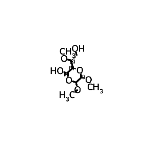 COC1O[C@@H](O)[C@H]([C@@H](CO)OC)O[C@@H]1OC